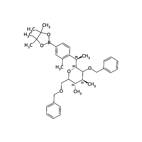 Cc1cc(B2OC(C)(C)C(C)(C)O2)ccc1[C@@H](C)[C@H]1OC(COCc2ccccc2)[C@@H](C)[C@H](C)C1OCc1ccccc1